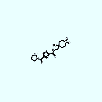 C[C@H]1CCCN1C(=O)c1csc(C(=O)NCC2(O)CCS(=O)(=O)CC2)n1